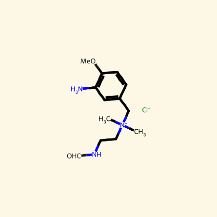 COc1ccc(C[N+](C)(C)CCNC=O)cc1N.[Cl-]